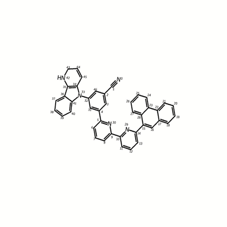 N#Cc1cc(-c2cccc(-c3cccc(-c4cc5ccccc5c5ccccc45)n3)n2)cc(-n2c3c(c4ccccc42)NCC=C3)c1